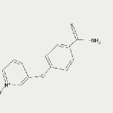 NC(=S)c1ccc(Oc2ccc[n+]([O-])c2)cc1